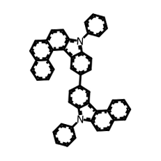 c1ccc(-n2c3ccc(-c4ccc5c(c4)c4c6c(ccc7ccccc76)ccc4n5-c4ccccc4)cc3c3c4ccccc4ccc32)cc1